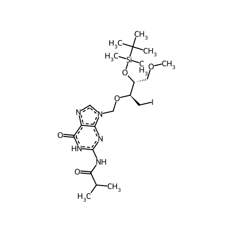 COC[C@@H](O[Si](C)(C)C(C)(C)C)[C@@H](CI)OCn1cnc2c(=O)[nH]c(NC(=O)C(C)C)nc21